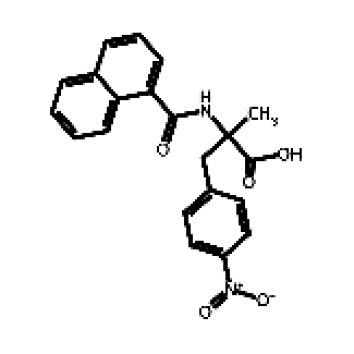 CC(Cc1ccc([N+](=O)[O-])cc1)(NC(=O)c1cccc2ccccc12)C(=O)O